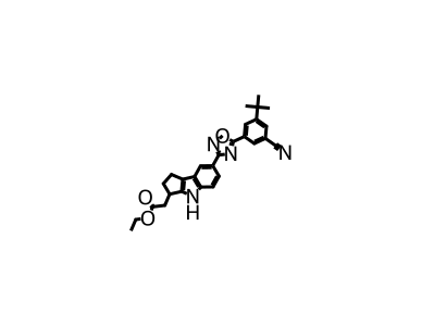 CCOC(=O)CC1CCc2c1[nH]c1ccc(-c3noc(-c4cc(C#N)cc(C(C)(C)C)c4)n3)cc21